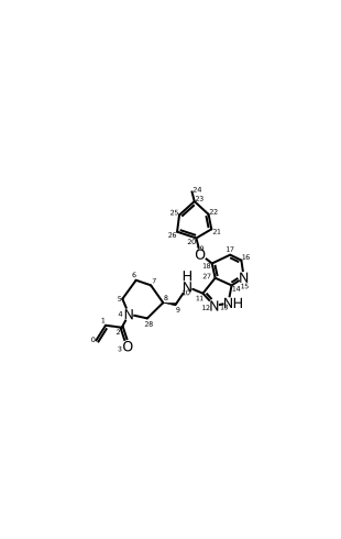 C=CC(=O)N1CCC[C@@H](CNc2n[nH]c3nccc(Oc4ccc(C)cc4)c23)C1